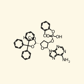 COC(OC(c1ccccc1)(c1ccccc1)c1ccccc1)[C@@H]1C[C@@H](OP(=O)(O)Oc2ccccc2Cl)[C@H](n2cnc3c(N)ncnc32)O1